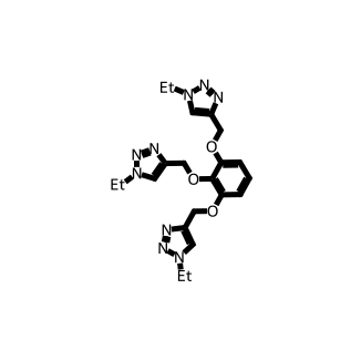 CCn1cc(COc2cccc(OCc3cn(CC)nn3)c2OCc2cn(CC)nn2)nn1